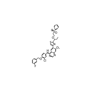 CCC(OCCS(=O)(=O)c1ccccc1)c1nc(-c2cc3c(Nc4ccc(OCc5cccc(F)c5)c(Cl)c4)ncnc3cc2OC)cs1